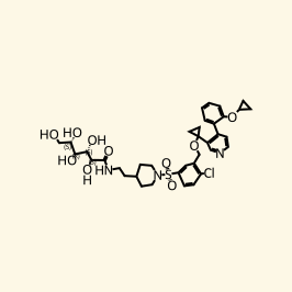 O=C(NCCC1CCN(S(=O)(=O)c2ccc(Cl)c(COC3(c4cnccc4-c4ccccc4OC4CC4)CC3)c2)CC1)[C@@H](O)[C@@H](O)[C@H](O)[C@@H](O)CO